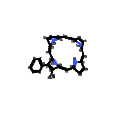 N#CC1=C(c2ccccc2)C2=NC1=CC1=NC(=CC3=NC(=CC4=NC(=C2)C=C4)C=C3)C=C1